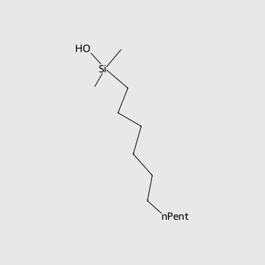 CCCCCCCCCCC[Si](C)(C)O